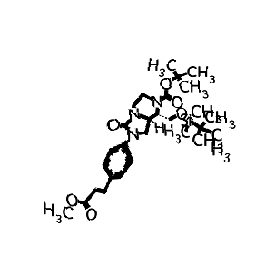 COC(=O)CCc1ccc(N2C[C@@H]3[C@@H](CO[Si](C)(C)C(C)(C)C)N(C(=O)OC(C)(C)C)CCN3C2=O)cc1